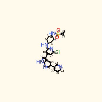 O=S(=O)(N[C@H]1CC[C@H](Nc2cc(-c3c[nH]c4ncc(-c5cccnc5)cc34)cc(Cl)n2)CC1)C1CC1